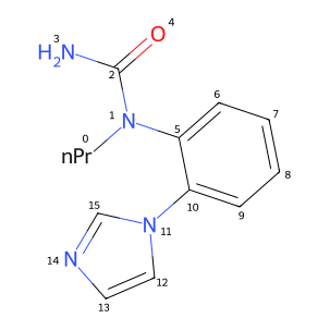 CCCN(C(N)=O)c1ccccc1-n1ccnc1